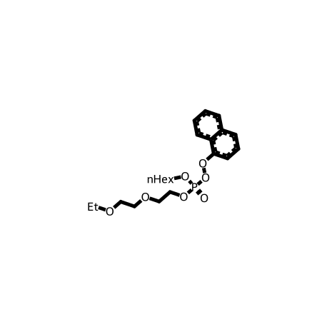 CCCCCCOP(=O)(OCCOCCOCC)OOc1cccc2ccccc12